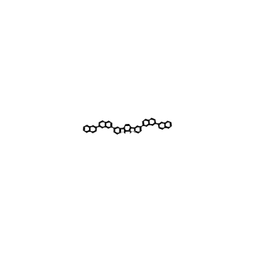 c1ccc2cc(-c3ccc4ccc(-c5ccc6oc7c(ccc8c9cc(-c%10ccc%11ccc(-c%12ccc%13ccccc%13c%12)cc%11c%10)ccc9oc87)c6c5)cc4c3)ccc2c1